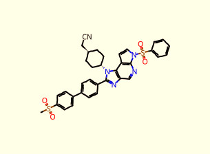 CS(=O)(=O)c1ccc(-c2ccc(-c3nc4cnc5c(ccn5S(=O)(=O)c5ccccc5)c4n3[C@H]3CC[C@H](CC#N)CC3)cc2)cc1